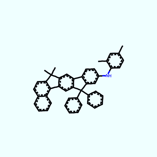 Cc1ccc(Nc2ccc3c(c2)C(c2ccccc2)(c2ccccc2)c2cc4c(cc2-3)C(C)(C)c2ccc3ccccc3c2-4)c(C)c1